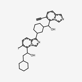 C#Cc1ccc2cncn2c1C(O)C1CCCC(c2ncn3c(C(O)CC4CCCCC4)c(I)ccc23)C1